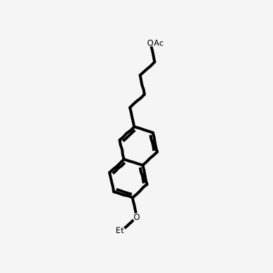 CCOc1ccc2cc(CCCCOC(C)=O)ccc2c1